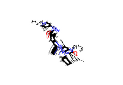 CC1C(=O)N(C)c2ccc(N3CCc4cc(C(=O)NC5CCN(C)CC5)ccc43)nc2N1C1CCCC1